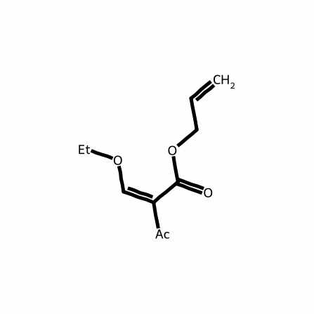 C=CCOC(=O)C(=COCC)C(C)=O